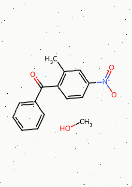 CO.Cc1cc([N+](=O)[O-])ccc1C(=O)c1ccccc1